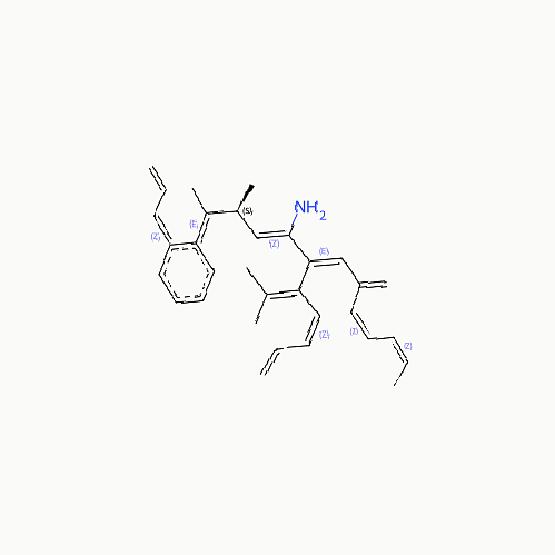 C=C/C=C\C(=C(C)C)C(=C\C(=C)/C=C\C=C/C)/C(N)=C/[C@H](C)/C(C)=c1\cccc\c1=C\C=C